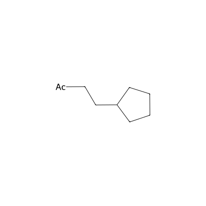 CC(=O)CCC1CCCC1